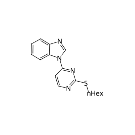 CCCCCCSc1nccc(-n2cnc3ccccc32)n1